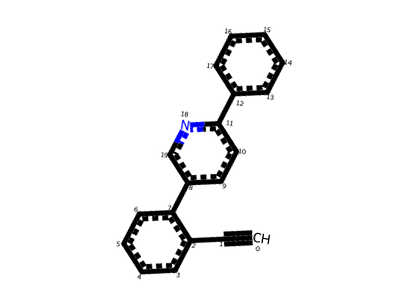 C#Cc1ccccc1-c1ccc(-c2ccccc2)nc1